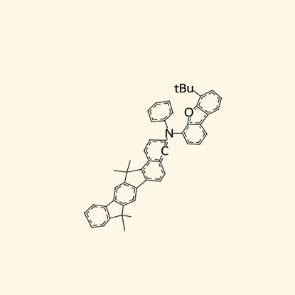 CC(C)(C)c1cccc2c1oc1c(N(c3ccccc3)c3ccc4c5c(ccc4c3)-c3cc4c(cc3C5(C)C)-c3ccccc3C4(C)C)cccc12